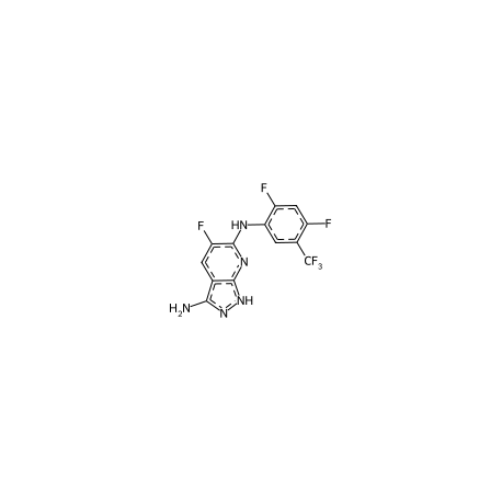 Nc1n[nH]c2nc(Nc3cc(C(F)(F)F)c(F)cc3F)c(F)cc12